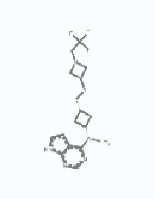 CN(c1ncnc2[nH]ccc12)[C@H]1C[C@@H](CSC2CN(CC(F)(F)F)C2)C1